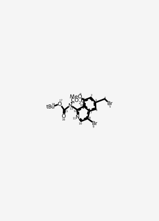 COc1cc(CBr)cc2c(Br)cnc(N(C(=O)O)C(=O)OC(C)(C)C)c12